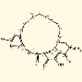 CN1CN2CCCCCCCCCOc3cc(F)ccc3CNC(=O)c3cn2c(c(O)c3=O)C1=O